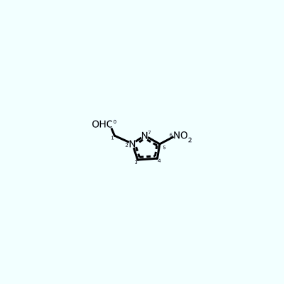 O=CCn1ccc([N+](=O)[O-])n1